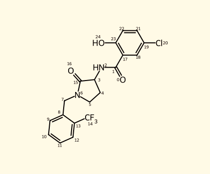 O=C(NC1CCN(Cc2ccccc2C(F)(F)F)C1=O)c1cc(Cl)ccc1O